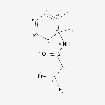 CCN(CC)CC(=O)NC1(C)CC=CC=C1C